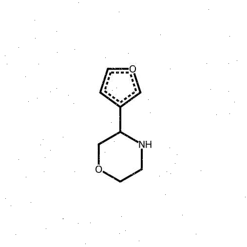 c1cc(C2COCCN2)co1